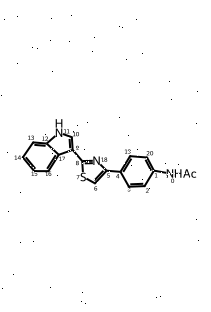 CC(=O)Nc1ccc(-c2csc(-c3c[nH]c4ccccc34)n2)cc1